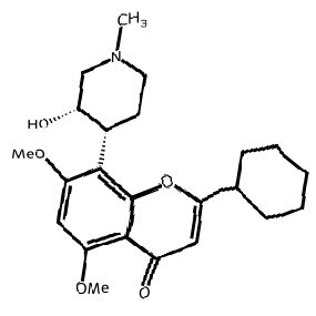 COc1cc(OC)c2c(=O)cc(C3CCCCC3)oc2c1[C@H]1CCN(C)C[C@H]1O